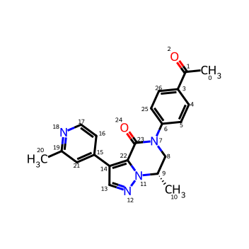 CC(=O)c1ccc(N2C[C@H](C)n3ncc(-c4ccnc(C)c4)c3C2=O)cc1